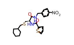 O=C(N[C@@H](CSCC1CCCCC1)C(=O)NCc1ccc([N+](=O)[O-])cc1)c1cccs1